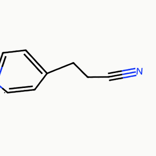 N#CCCc1c[c]ncc1